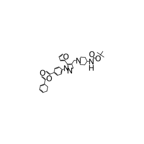 CC(C)(C)OC(=O)NC1CCN(Cc2cnn(-c3ccc(C4=COC=C(C5=CC=CCC5)O4)cc3)c2-c2ccco2)CC1